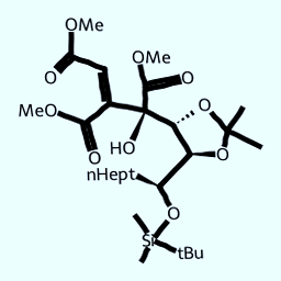 CCCCCCC[C@H](O[Si](C)(C)C(C)(C)C)[C@@H]1OC(C)(C)O[C@H]1[C@@](O)(C(=O)OC)/C(=C/C(=O)OC)C(=O)OC